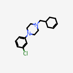 Clc1cccc(N2CCN(CC3CC=CCC3)CC2)c1